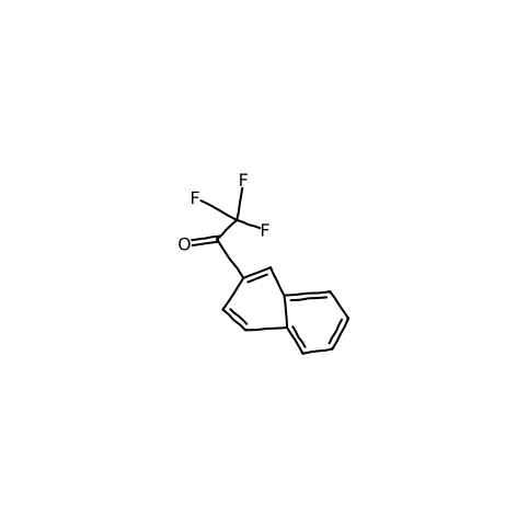 O=C(c1ccc2ccccc2c1)C(F)(F)F